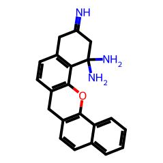 N=C1Cc2ccc3c(c2C(N)(N)C1)Oc1c(ccc2ccccc12)C3